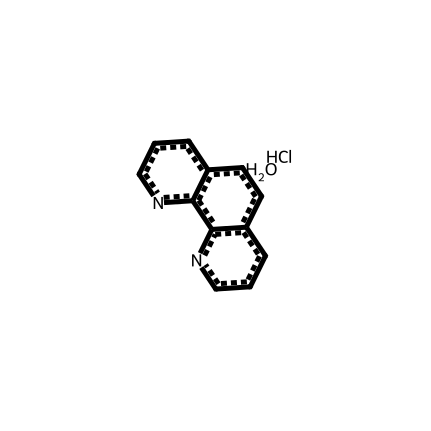 Cl.O.c1cnc2c(c1)ccc1cccnc12